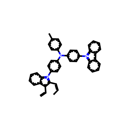 C=Cc1c(/C=C\C)n(-c2ccc(N(c3ccc(C)cc3)c3ccc(-n4c5ccccc5c5ccccc54)cc3)cc2)c2ccccc12